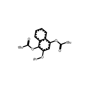 CC(C)Oc1cc(OC(=O)C(C)(C)C)c2ccccc2c1OC(=O)C(C)(C)C